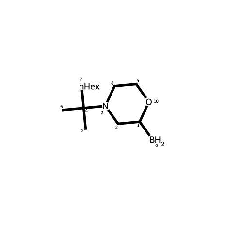 BC1CN(C(C)(C)CCCCCC)CCO1